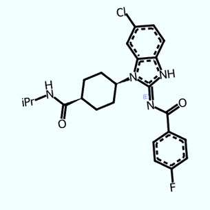 CC(C)NC(=O)[C@H]1CC[C@@H](n2/c(=N/C(=O)c3ccc(F)cc3)[nH]c3ccc(Cl)cc32)CC1